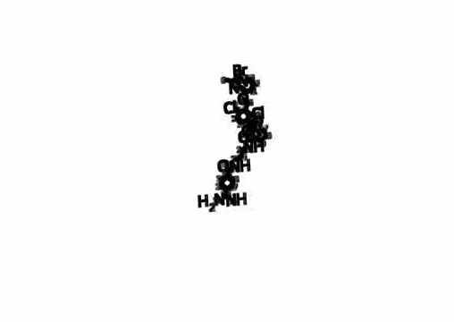 Cc1nc2c(OCc3c(Cl)ccc(S(=O)(=O)N4CCC[C@H]4C(=O)NCCCNC(=O)c4ccc(C(=N)N)cc4)c3Cl)cccn2c1Br